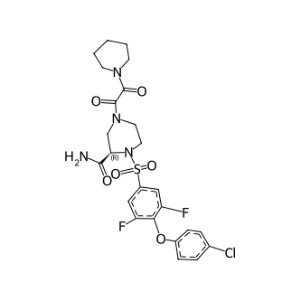 NC(=O)[C@H]1CN(C(=O)C(=O)N2CCCCC2)CCN1S(=O)(=O)c1cc(F)c(Oc2ccc(Cl)cc2)c(F)c1